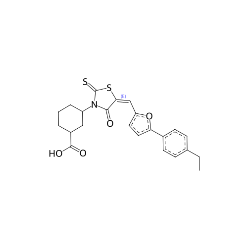 CCc1ccc(-c2ccc(/C=C3/SC(=S)N(C4CCCC(C(=O)O)C4)C3=O)o2)cc1